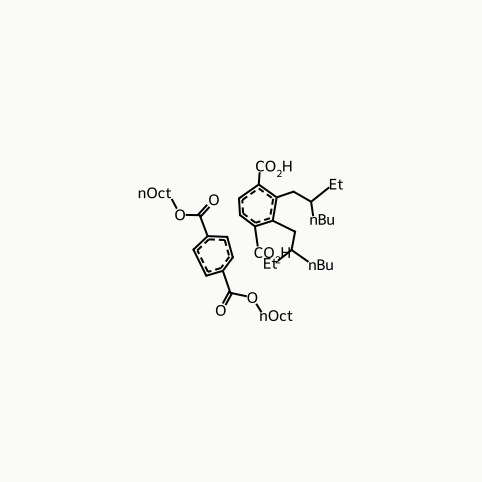 CCCCC(CC)Cc1c(C(=O)O)ccc(C(=O)O)c1CC(CC)CCCC.CCCCCCCCOC(=O)c1ccc(C(=O)OCCCCCCCC)cc1